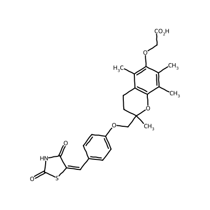 Cc1c(C)c2c(c(C)c1OCC(=O)O)CCC(C)(COc1ccc(C=C3SC(=O)NC3=O)cc1)O2